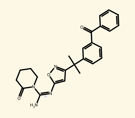 CC(C)(c1cccc(C(=O)c2ccccc2)c1)c1cc(/N=C(/N)N2CCCCC2=O)on1